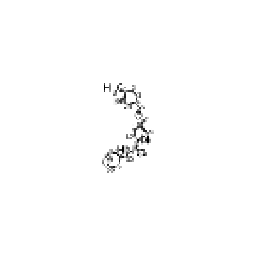 Cc1ccc(COCc2ccc(C(=O)NCC3CCOCC3)nc2)cc1F